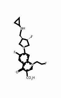 O=C(O)c1cn(CCF)c2cc(N3C[C@@H](CNC4CC4)[C@H](F)C3)c(F)cc2c1=O